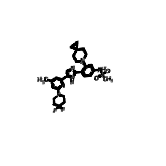 Cc1cc(-c2cnc(-c3ccc(NS(C)(=O)=O)cc3N3CCC4(CC3)CC4)[nH]2)nc(N2CCC(F)(F)CC2)c1